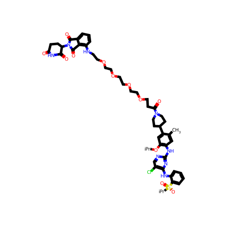 Cc1cc(Nc2ncc(Cl)c(Nc3ccccc3S(=O)(=O)C(C)C)n2)c(OC(C)C)cc1C1CCN(C(=O)CCOCCOCCOCCOCCNc2cccc3c2C(=O)N(C2CCC(=O)NC2=O)C3=O)CC1